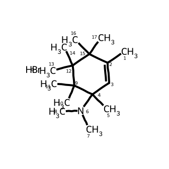 Br.CC1=CC(C)(N(C)C)C(C)(C)C(C)(C)C1(C)C